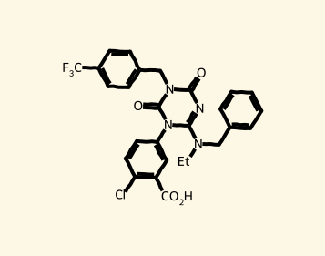 CCN(Cc1ccccc1)c1nc(=O)n(Cc2ccc(C(F)(F)F)cc2)c(=O)n1-c1ccc(Cl)c(C(=O)O)c1